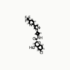 O=C(NC12CC(n3cc(-c4ccc(C(F)(F)F)cn4)cn3)(C1)C2)[C@H]1C[C@@H](O)c2cc(Cl)ccc2O1